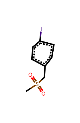 CS(=O)(=O)Cc1ccc(I)cc1